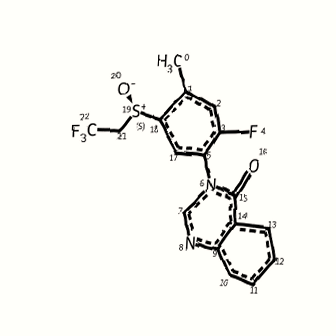 Cc1cc(F)c(-n2cnc3ccccc3c2=O)cc1[S@+]([O-])CC(F)(F)F